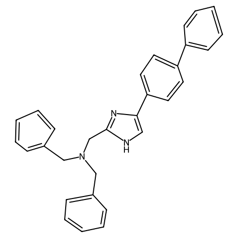 c1ccc(CN(Cc2ccccc2)Cc2nc(-c3ccc(-c4ccccc4)cc3)c[nH]2)cc1